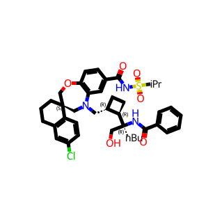 CCCC[C@@](CO)(NC(=O)c1ccccc1)[C@@H]1CC[C@H]1CN1C[C@@]2(CCCc3cc(Cl)ccc32)COc2ccc(C(=O)NS(=O)(=O)C(C)C)cc21